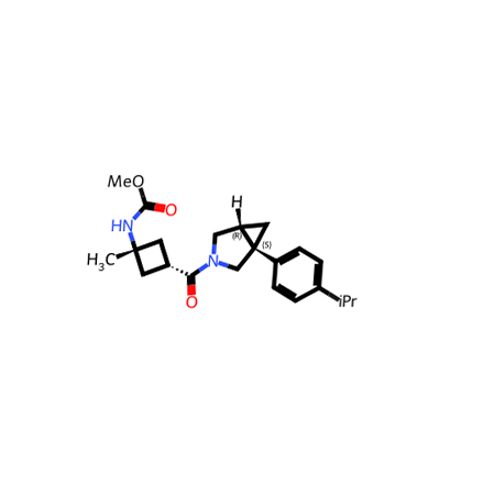 COC(=O)N[C@]1(C)C[C@H](C(=O)N2C[C@@H]3C[C@]3(c3ccc(C(C)C)cc3)C2)C1